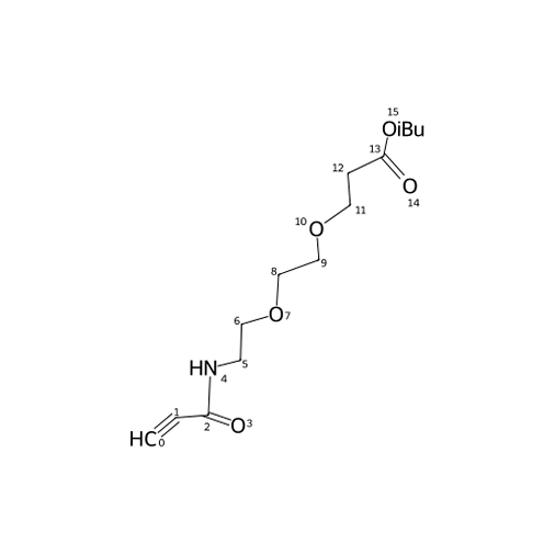 C#CC(=O)NCCOCCOCCC(=O)OCC(C)C